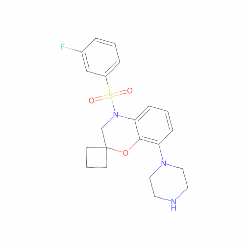 O=S(=O)(c1cccc(F)c1)N1CC2(CCC2)Oc2c(N3CCNCC3)cccc21